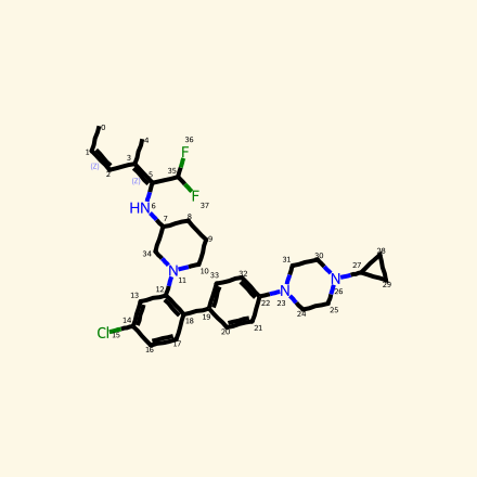 C/C=C\C(C)=C(/NC1CCCN(c2cc(Cl)ccc2-c2ccc(N3CCN(C4CC4)CC3)cc2)C1)C(F)F